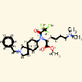 COC(=O)[C@@H](CCCCN(C)C)N(C(=O)C(F)(F)F)C1CCC2(CC1)CCN(Cc1ccccc1)C2